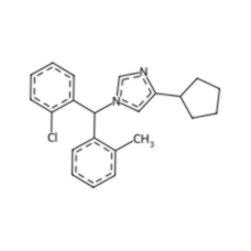 Cc1ccccc1C(c1ccccc1Cl)n1cnc(C2CCCC2)c1